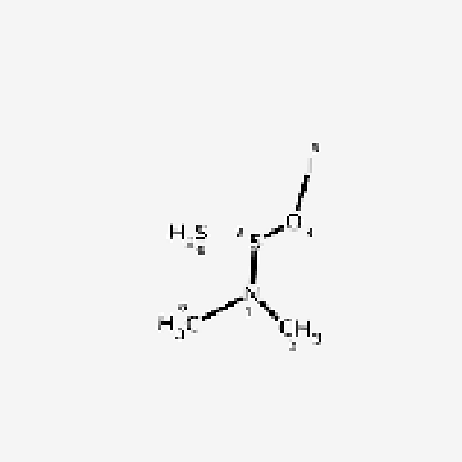 CN(C)SOI.S